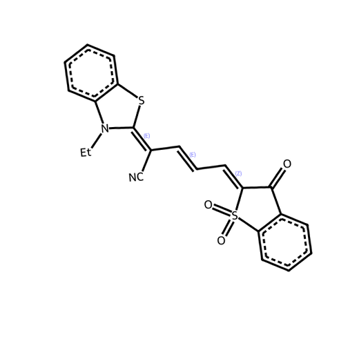 CCN1/C(=C(C#N)/C=C/C=C2/C(=O)c3ccccc3S2(=O)=O)Sc2ccccc21